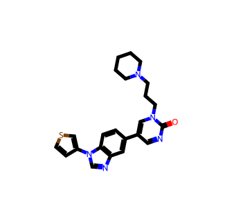 O=c1ncc(-c2ccc3c(c2)ncn3-c2ccsc2)cn1CCCN1CCCCC1